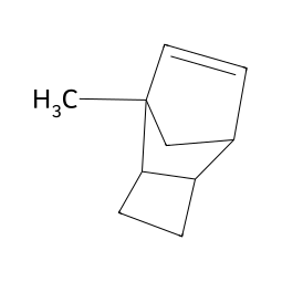 CC12C=CC(C1)C1CCC12